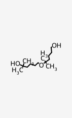 CC(C)(O)CCCCOC(C)(C)CCCCO